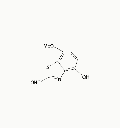 COc1ccc(O)c2nc(C=O)sc12